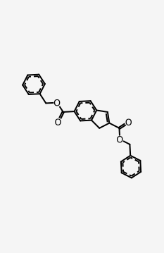 O=C(OCc1ccccc1)C1=Cc2ccc(C(=O)OCc3ccccc3)cc2C1